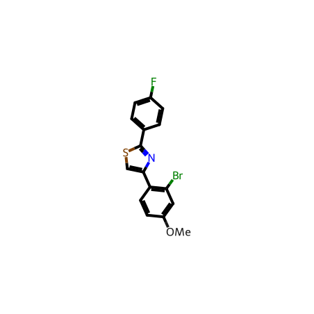 COc1ccc(-c2csc(-c3ccc(F)cc3)n2)c(Br)c1